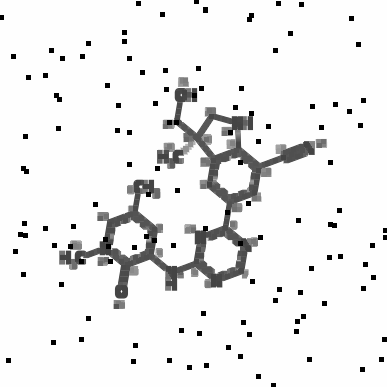 Cc1cc(Nc2ncnc(-c3cc(C#N)c4c(c3)[C@@](C)(CO)CN4)n2)c(=O)n(C)c1